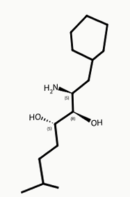 CC(C)CC[C@H](O)[C@H](O)[C@@H](N)CC1CCCCC1